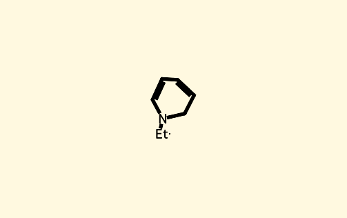 C[CH]N1C=CC=CC1